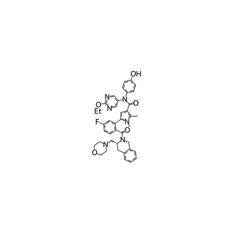 CCOc1ncc(N(C(=O)c2cc(-c3cc(F)ccc3C(=O)N3Cc4ccccc4C[C@H]3CN3CCOCC3)n(C)c2C)c2ccc(O)cc2)cn1